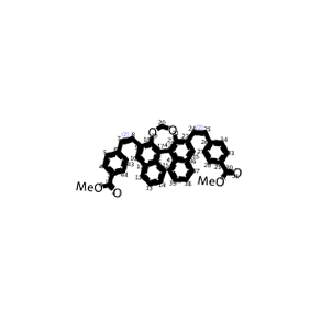 COC(=O)c1ccc(/C=C\c2cc3ccccc3c3c2OCOc2c(/C=C\c4ccc(C(=O)OC)cc4)cc4ccccc4c2-3)cc1